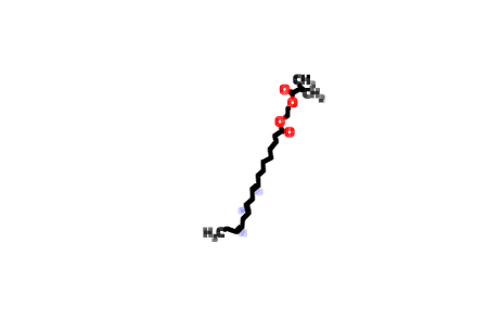 C=C(C)C(=O)OCCOC(=O)CCCCCCC/C=C/C/C=C/C/C=C\CC